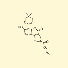 C=CCOC(=O)N1CCc2c(c(=O)oc3c(C4OCC(C)(C)CO4)c(O)ccc23)C1